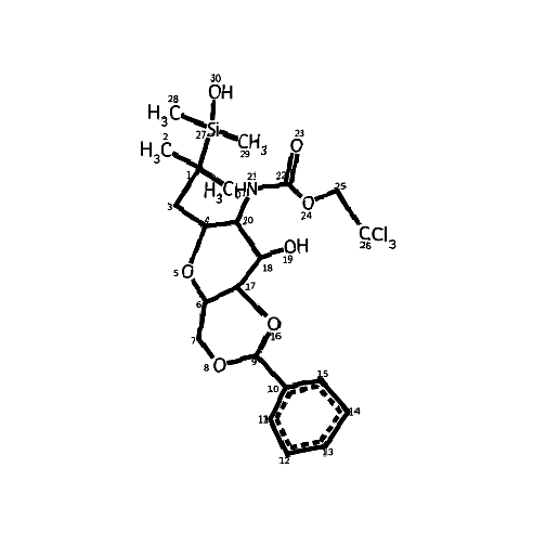 CC(C)(CC1OC2COC(c3ccccc3)OC2C(O)C1NC(=O)OCC(Cl)(Cl)Cl)[Si](C)(C)O